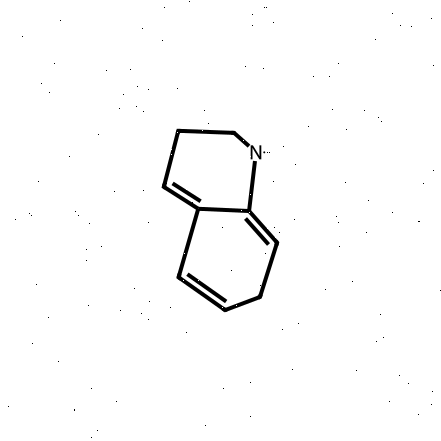 C1=CC2=CCC[N]C2=CC1